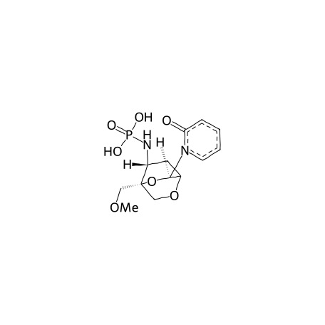 COC[C@]12COC(C[C@H]1NP(=O)(O)O)[C@H](n1ccccc1=O)O2